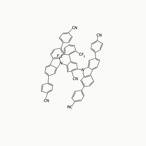 N#Cc1ccc(-c2ccc3c4ccc(-c5ccc(C#N)cc5)cc4n(-c4cc(-c5c(C(F)(F)F)cccc5C(F)(F)F)c(-n5c6cc(-c7ccc(C#N)cc7)ccc6c6ccc(-c7ccc(C#N)cc7)cc65)cc4C#N)c3c2)cc1